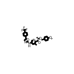 COc1ccc(CON(C)C(=O)c2ncc(Nc3ncc(-c4ccc(C(F)(F)F)cc4)o3)cc2C)cc1